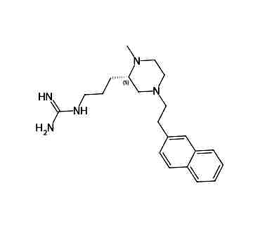 CN1CCN(CCc2ccc3ccccc3c2)C[C@@H]1CCCNC(=N)N